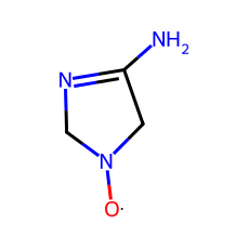 NC1=NCN([O])C1